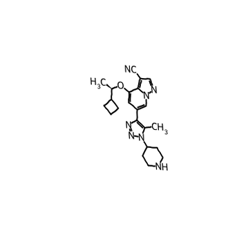 Cc1c(-c2cc(O[C@H](C)C3CCC3)c3c(C#N)cnn3c2)nnn1C1CCNCC1